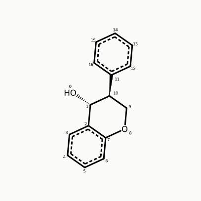 O[C@H]1c2ccccc2OC[C@@H]1c1ccccc1